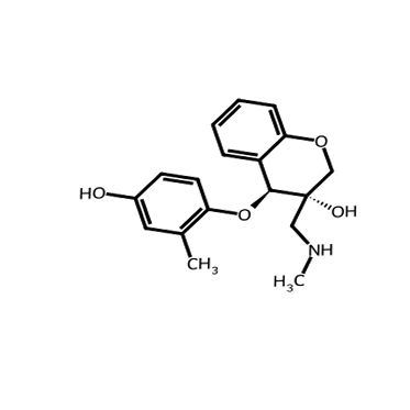 CNC[C@]1(O)COc2ccccc2[C@@H]1Oc1ccc(O)cc1C